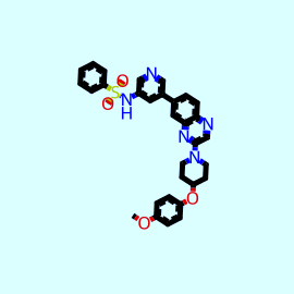 COc1ccc(OC2CCN(c3cnc4ccc(-c5cncc(NS(=O)(=O)c6ccccc6)c5)cc4n3)CC2)cc1